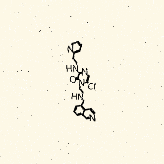 O=c1c(NCCc2ccccn2)ncc(Cl)n1CCNCc1cccc2cnccc12